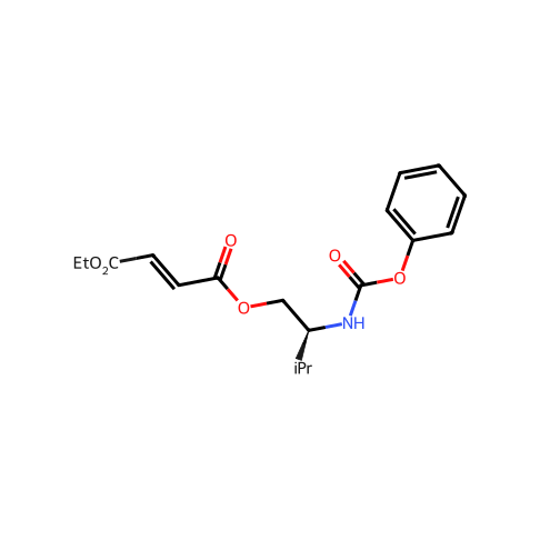 CCOC(=O)/C=C/C(=O)OC[C@@H](NC(=O)Oc1ccccc1)C(C)C